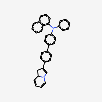 C1=CC2CC(c3ccc(-c4ccc(N(c5ccccc5)c5cccc6ccccc56)cc4)cc3)=CN2C=C1